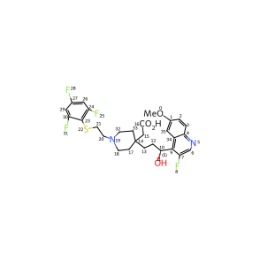 COc1ccc2ncc(F)c([C@@H](O)CCC3(CC(=O)O)CCN(CCSc4c(F)cc(F)cc4F)CC3)c2c1